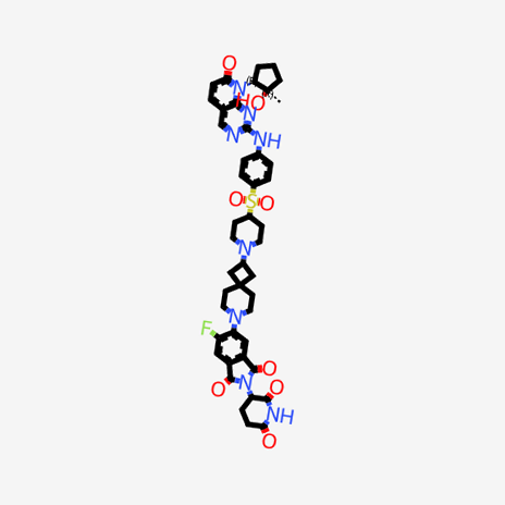 C[C@@]1(O)CCC[C@H]1n1c(=O)ccc2cnc(Nc3ccc(S(=O)(=O)C4CCN(C5CC6(CCN(c7cc8c(cc7F)C(=O)N(C7CCC(=O)NC7=O)C8=O)CC6)C5)CC4)cc3)nc21